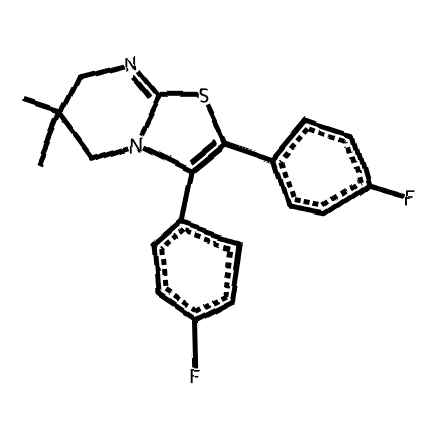 CC1(C)CN=C2SC(c3ccc(F)cc3)=C(c3ccc(F)cc3)N2C1